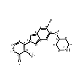 O=c1[nH]ncc(-n2cc3cc(F)c(OC4CCNCC4)cc3c2)c1C(F)(F)F